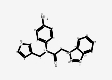 Nc1ccc(N(Cc2ccsc2)C(=O)Cn2nnc3ccccc32)cc1